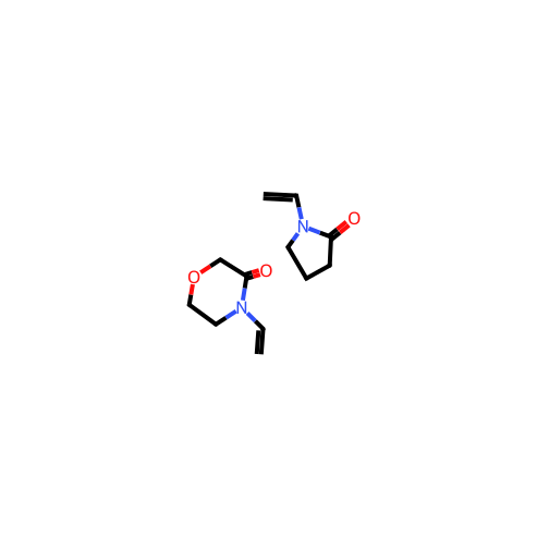 C=CN1CCCC1=O.C=CN1CCOCC1=O